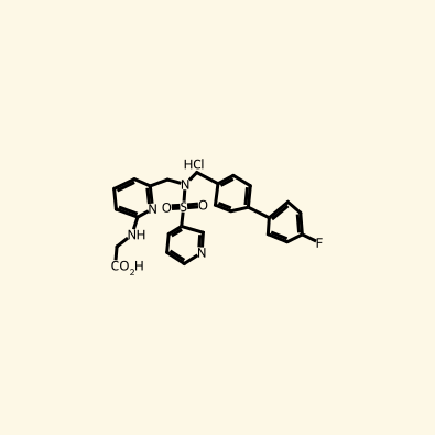 Cl.O=C(O)CNc1cccc(CN(Cc2ccc(-c3ccc(F)cc3)cc2)S(=O)(=O)c2cccnc2)n1